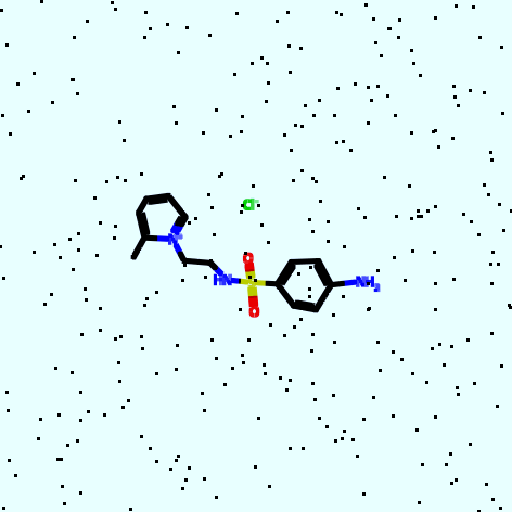 Cc1cccc[n+]1CCNS(=O)(=O)c1ccc(N)cc1.[Cl-]